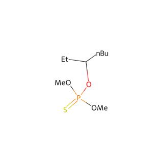 CCCCC(CC)OP(=S)(OC)OC